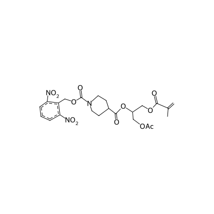 C=C(C)C(=O)OCC(COC(C)=O)OC(=O)C1CCN(C(=O)OCc2c([N+](=O)[O-])cccc2[N+](=O)[O-])CC1